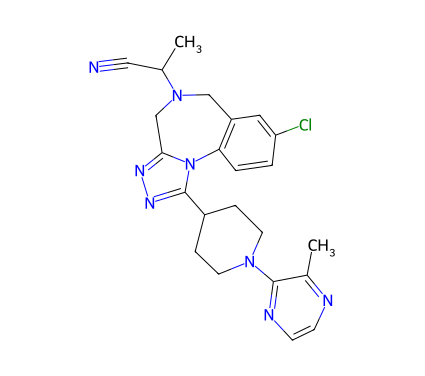 Cc1nccnc1N1CCC(c2nnc3n2-c2ccc(Cl)cc2CN(C(C)C#N)C3)CC1